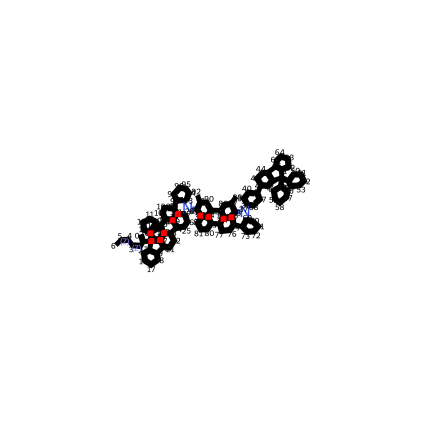 C=C(/C=C\C=C/C)C1(c2ccccc2)c2ccccc2-c2ccc(-c3ccc(N(c4ccc(-c5ccc(N(c6ccc(-c7ccc8c(c7)C(c7ccccc7)(c7ccccc7)c7ccccc7-8)cc6)c6ccccc6-c6ccc(-c7ccccc7)cc6)c(C)c5)cc4C)c4ccccc4-c4ccc(-c5ccccc5)cc4)cc3)cc21